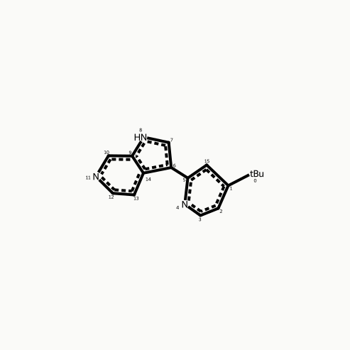 CC(C)(C)c1ccnc(-c2c[nH]c3cnccc23)c1